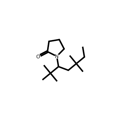 CCC(C)(C)CC(N1CCCC1=O)C(C)(C)C